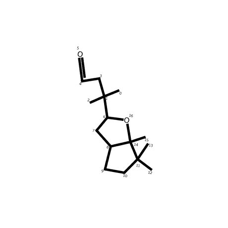 CC(C)(CC=O)C1CC2CCC(C)(C)C2(C)O1